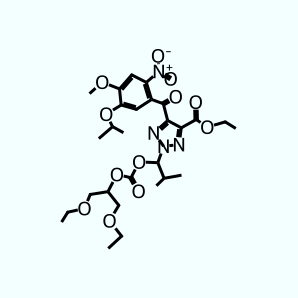 CCOCC(COCC)OC(=O)OC(C(C)C)n1nc(C(=O)OCC)c(C(=O)c2cc(OC(C)C)c(OC)cc2[N+](=O)[O-])n1